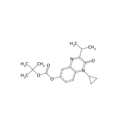 CC(C)c1nc2cc(OC(=O)OC(C)(C)C)ccc2n(C2CC2)c1=O